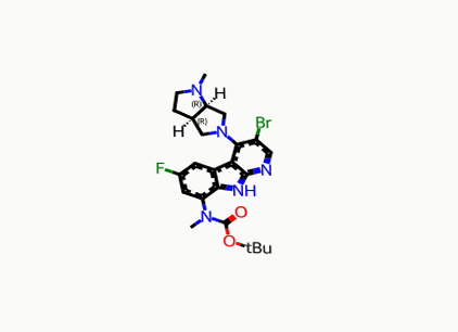 CN(C(=O)OC(C)(C)C)c1cc(F)cc2c1[nH]c1ncc(Br)c(N3C[C@H]4CCN(C)[C@H]4C3)c12